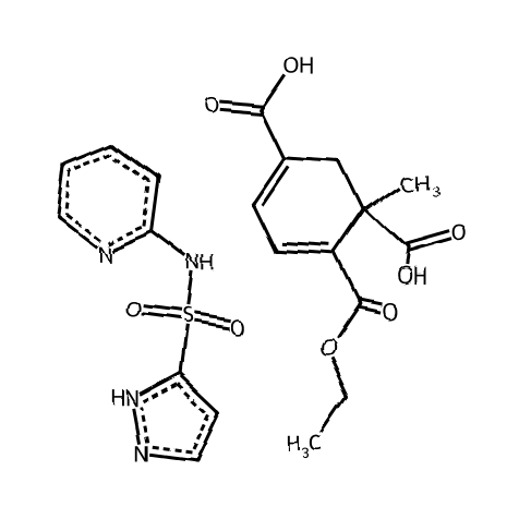 CCOC(=O)C1=CC=C(C(=O)O)CC1(C)C(=O)O.O=S(=O)(Nc1ccccn1)c1ccn[nH]1